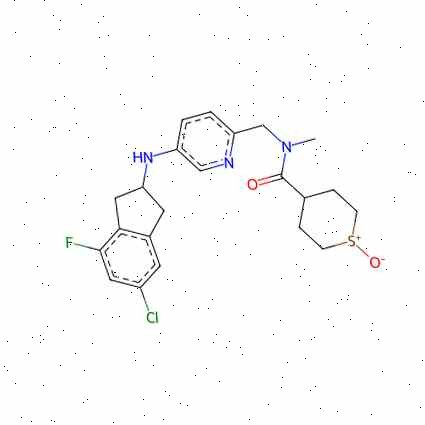 CN(Cc1ccc(NC2Cc3cc(Cl)cc(F)c3C2)cn1)C(=O)C1CC[S+]([O-])CC1